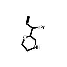 C=CC(CCC)C1CNCCO1